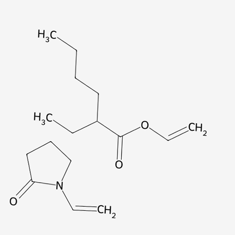 C=CN1CCCC1=O.C=COC(=O)C(CC)CCCC